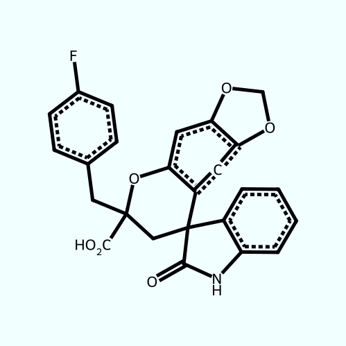 O=C(O)C1(Cc2ccc(F)cc2)CC2(C(=O)Nc3ccccc32)c2cc3c(cc2O1)OCO3